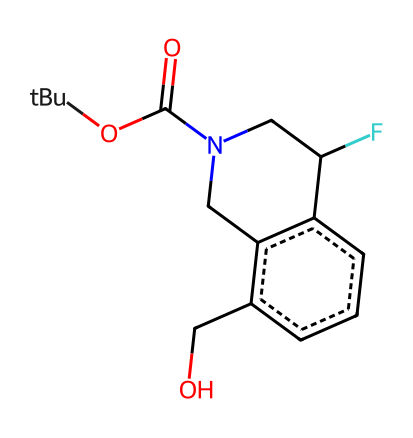 CC(C)(C)OC(=O)N1Cc2c(CO)cccc2C(F)C1